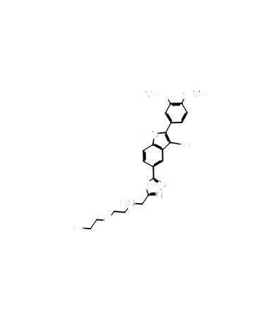 COc1ccc(-c2[nH]c3ccc(-c4nnc(CNCCOCCO)o4)cc3c2C(C)C)cc1OC